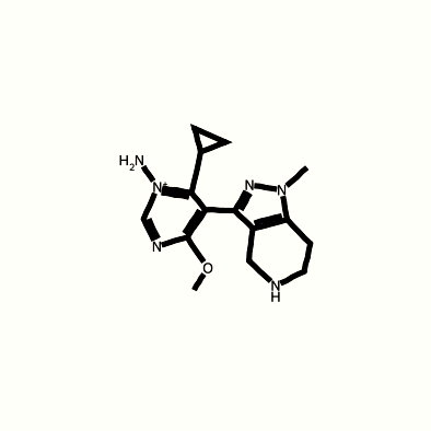 COc1nc[n+](N)c(C2CC2)c1-c1nn(C)c2c1CNCC2